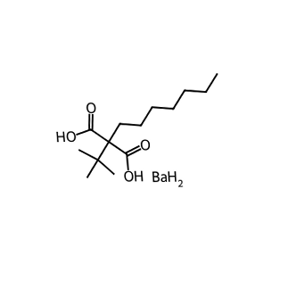 CCCCCCCC(C(=O)O)(C(=O)O)C(C)(C)C.[BaH2]